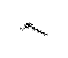 Nc1ncc2ncn(CCNCCCCCO)c2n1